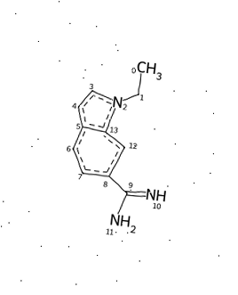 CCn1ccc2ccc(C(=N)N)cc21